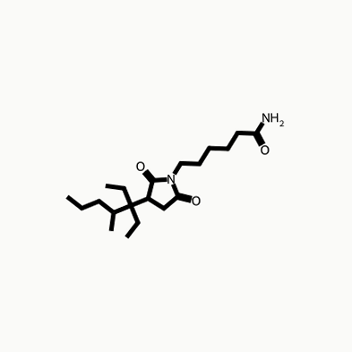 CCCC(C)C(CC)(CC)C1CC(=O)N(CCCCCC(N)=O)C1=O